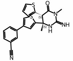 CN1C(=N)N[C@](C)(c2cc(-c3cccc(C#N)c3)cs2)[C@H](c2cccs2)C1=O